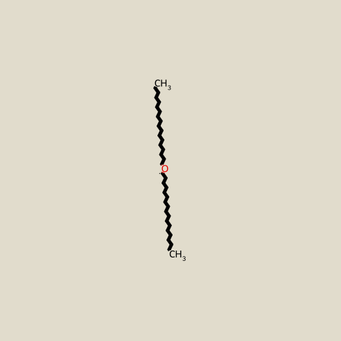 CCCCCCCCCCCCCCCCC[CH]OCCCCCCCCCCCCCCCCCC